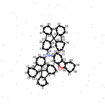 c1ccc2c(c1)-c1ccccc1C21c2ccccc2-c2ccc(N(c3ccc4c(c3)C3(c5ccccc5-c5ccccc53)c3ccccc3-4)c3ccc4c(c3)oc3ccccc34)cc21